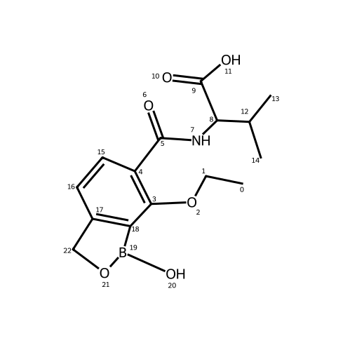 CCOc1c(C(=O)NC(C(=O)O)C(C)C)ccc2c1B(O)OC2